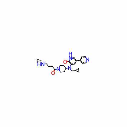 CC(C)NC/C=C/C(=O)N1CCC(N(CC2CC2)c2cc(-c3ccncc3)c[nH]c2=O)CC1